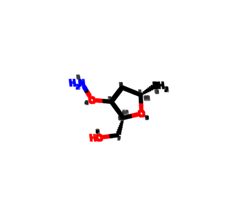 B[C@H]1CC(ON)[C@@H](CO)O1